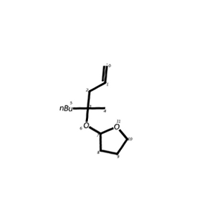 [CH]=CCC(C)(CCCC)OC1CCCO1